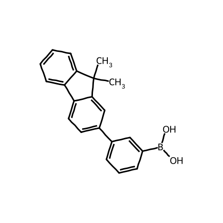 CC1(C)c2ccccc2-c2ccc(-c3cccc(B(O)O)c3)cc21